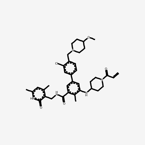 C=CC(=O)N1CCC(Nc2cc(-c3ccc(CN4CCC(OC)CC4)c(Cl)c3)cc(C(=O)NCc3c(C)cc(C)[nH]c3=O)c2C)CC1